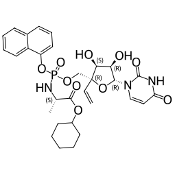 C=C[C@]1(COP(=O)(N[C@@H](C)C(=O)OC2CCCCC2)Oc2cccc3ccccc23)O[C@@H](n2ccc(=O)[nH]c2=O)[C@H](O)[C@@H]1O